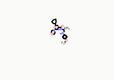 C[C@@H](CNc1ccc(OC(F)(F)F)cc1)NC(=O)[C@H](CCC1CCCCC1)CC(=O)N1CCOCC1